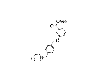 COC(=O)c1cccc(OCc2ccc(CN3CCOCC3)cc2)n1